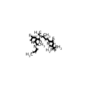 C=C/C=C\N=C(/C)c1ncc(F)cc1C(=O)N(CC)[C@@H](C)CCc1ncc(C(F)(P)P)cc1F